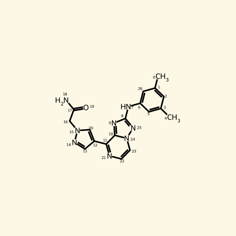 Cc1cc(C)cc(Nc2nc3c(-c4cnn(CC(N)=O)c4)nccn3n2)c1